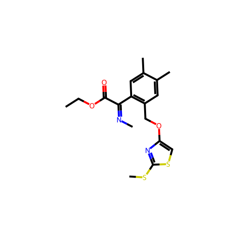 CCOC(=O)/C(=N/C)c1cc(C)c(C)cc1COc1csc(SC)n1